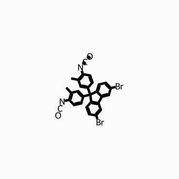 Cc1cc(C2(c3ccc(N=C=O)c(C)c3)c3ccc(Br)cc3-c3cc(Br)ccc32)ccc1N=C=O